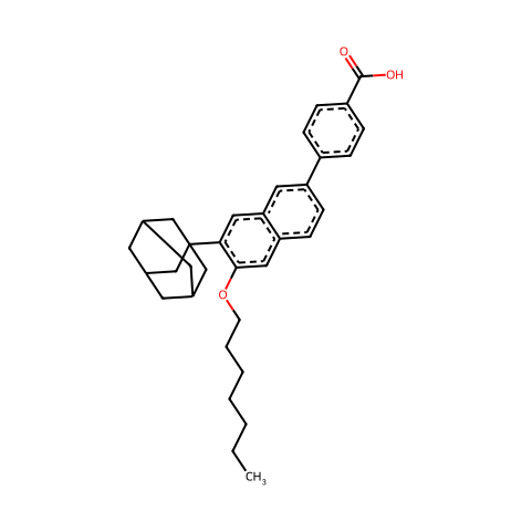 CCCCCCCOc1cc2ccc(-c3ccc(C(=O)O)cc3)cc2cc1C12CC3CC(CC(C3)C1)C2